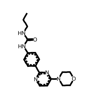 CCCNC(=O)Nc1ccc(-c2nccc(N3CCOCC3)n2)cc1